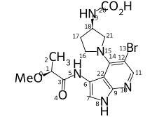 CO[C@@H](C)C(=O)Nc1c[nH]c2ncc(Br)c(N3CC[C@@H](NC(=O)O)C3)c12